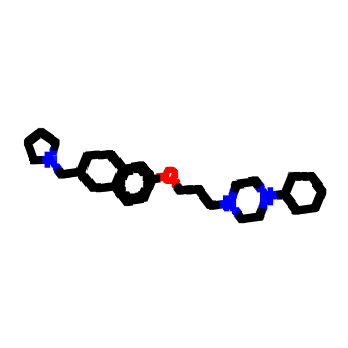 c1cc2c(cc1OCCCN1CCN(C3CCCCC3)CC1)CCC(CN1CCCC1)C2